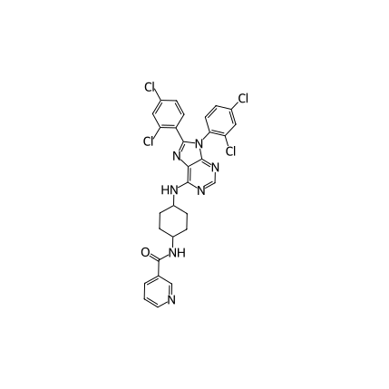 O=C(NC1CCC(Nc2ncnc3c2nc(-c2ccc(Cl)cc2Cl)n3-c2ccc(Cl)cc2Cl)CC1)c1cccnc1